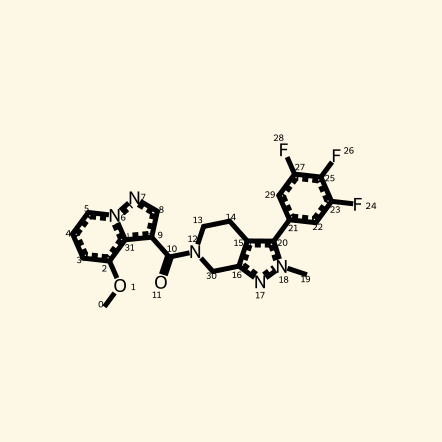 COc1cccn2ncc(C(=O)N3CCc4c(nn(C)c4-c4cc(F)c(F)c(F)c4)C3)c12